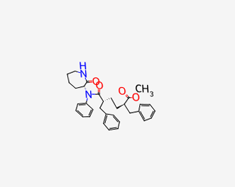 COC(=O)[C@H](CC[C@H](Cc1ccccc1)C(=O)N(c1ccccc1)[C@@H]1CCCCNC1=O)Cc1ccccc1